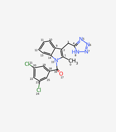 Cc1c(Cc2nnn[nH]2)c2ccccc2n1C(=O)c1cc(Cl)cc(Cl)c1